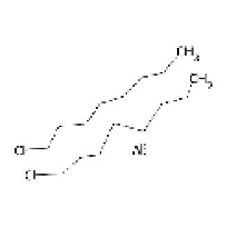 CCCCCCCCCl.CCCCCCCCCl.[Al]